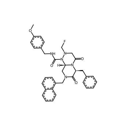 COc1ccc(CNC(=O)N2[C@H]3CN(Cc4cccc5ccccc45)C(=O)[C@H](Cc4ccccc4)N3C(=O)CN2CF)cc1